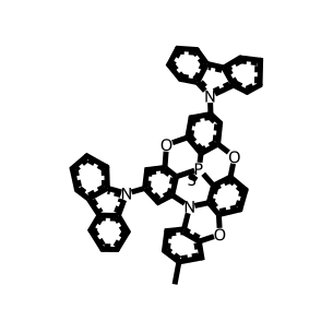 Cc1ccc2c(c1)Oc1ccc3c4c1N2c1cc(-n2c5ccccc5c5ccccc52)cc2c1P4(=S)c1c(cc(-n4c5ccccc5c5ccccc54)cc1O3)O2